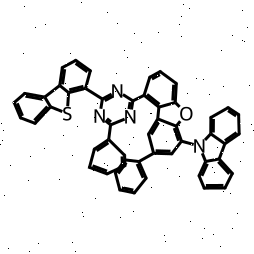 c1ccc(-c2cc(-n3c4ccccc4c4ccccc43)c3oc4cccc(-c5nc(-c6ccccc6)nc(-c6cccc7c6sc6ccccc67)n5)c4c3c2)cc1